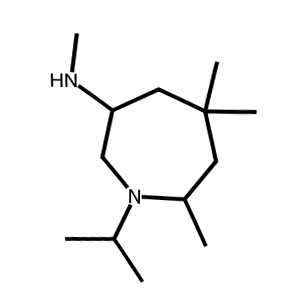 CNC1CN(C(C)C)C(C)CC(C)(C)C1